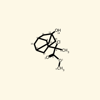 COC(=O)C(C)(Cl)C12CC3CC(CC(O)(C3)C1)C2